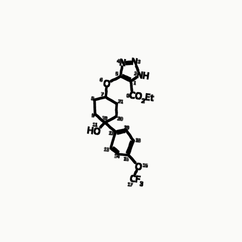 CCOC(=O)c1[nH]nnc1OC1CCC(O)(c2ccc(OC(F)(F)F)cc2)CC1